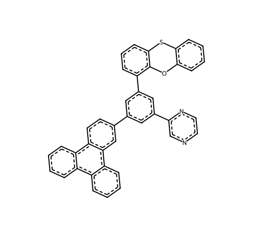 c1ccc2c(c1)Oc1c(cccc1-c1cc(-c3ccc4c5ccccc5c5ccccc5c4c3)cc(-c3cnccn3)c1)S2